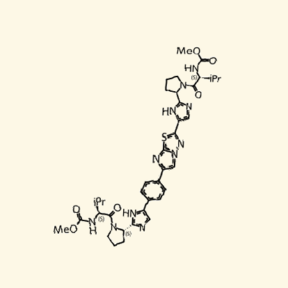 COC(=O)N[C@H](C(=O)N1CCCC1c1ncc(-c2nn3cc(-c4ccc(-c5cnc([C@@H]6CCCN6C(=O)[C@@H](NC(=O)OC)C(C)C)[nH]5)cc4)nc3s2)[nH]1)C(C)C